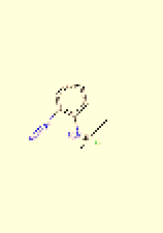 N#[N+]c1ccccc1N.[CH3][Zn][CH3].[Cl-]